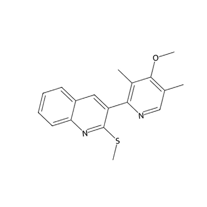 COc1c(C)cnc(-c2cc3ccccc3nc2SC)c1C